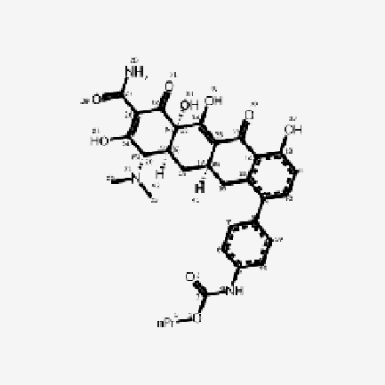 CCCOC(=O)Nc1ccc(-c2ccc(O)c3c2C[C@H]2C[C@H]4[C@H](N(C)C)C(O)=C(C(N)=O)C(=O)[C@@]4(O)C(O)=C2C3=O)cc1